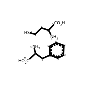 NC(CCS)C(=O)O.NC(Cc1ccccc1)C(=O)O